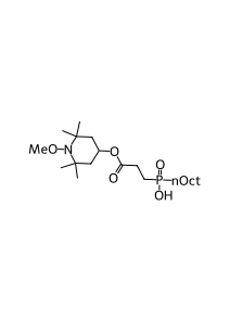 CCCCCCCCP(=O)(O)CCC(=O)OC1CC(C)(C)N(OC)C(C)(C)C1